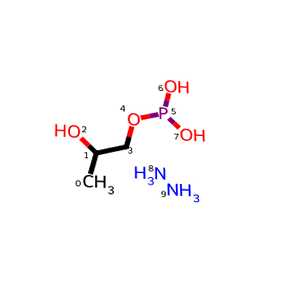 CC(O)COP(O)O.N.N